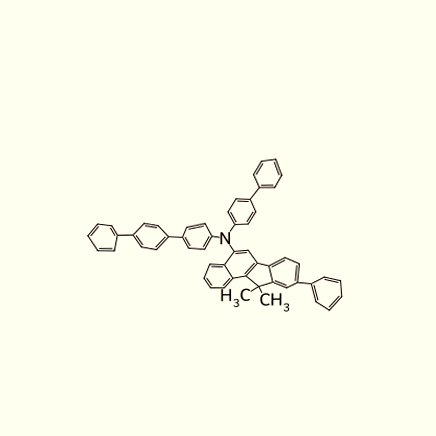 CC1(C)c2cc(-c3ccccc3)ccc2-c2cc(N(c3ccc(-c4ccccc4)cc3)c3ccc(-c4ccc(-c5ccccc5)cc4)cc3)c3ccccc3c21